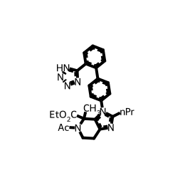 CCCc1nc2c(n1-c1ccc(-c3ccccc3-c3nnn[nH]3)cc1)C(C)(C(=O)OCC)N(C(C)=O)CC2